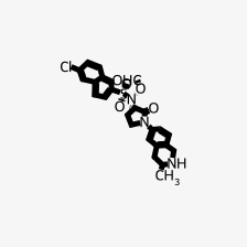 CC1Cc2cc(N3CC[C@H](N(OC=O)S(=O)(=O)c4ccc5cc(Cl)ccc5c4)C3=O)ccc2CN1